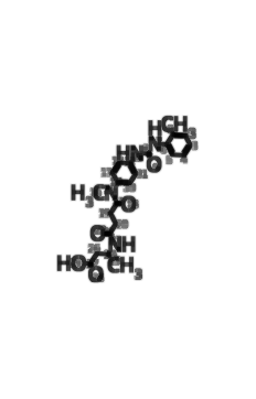 Cc1ccccc1NC(=O)Nc1ccc(N(C)C(=O)CCC(=O)NC(C)CC(=O)O)cc1